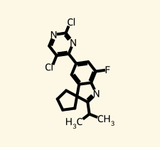 CC(C)C1=Nc2c(F)cc(-c3nc(Cl)ncc3Cl)cc2C12CCCC2